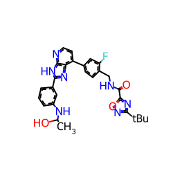 CC(O)Nc1cccc(-c2nc3c(-c4ccc(CNC(=O)c5nc(C(C)(C)C)no5)c(F)c4)ccnc3[nH]2)c1